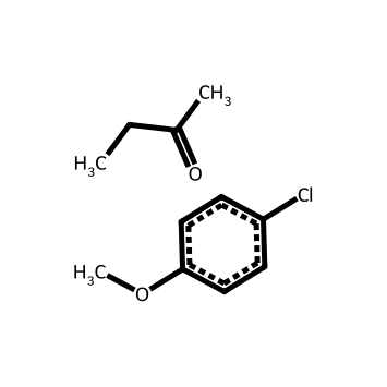 CCC(C)=O.COc1ccc(Cl)cc1